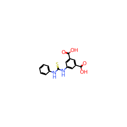 O=C(O)c1cc(NC(=S)Nc2ccccc2)cc(C(=O)O)c1